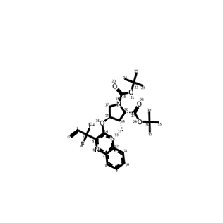 C=CC(F)(F)c1nc2ccccc2nc1O[C@H]1CN(C(=O)OC(C)(C)C)[C@H](C(=O)OC(C)(C)C)[C@@H]1C